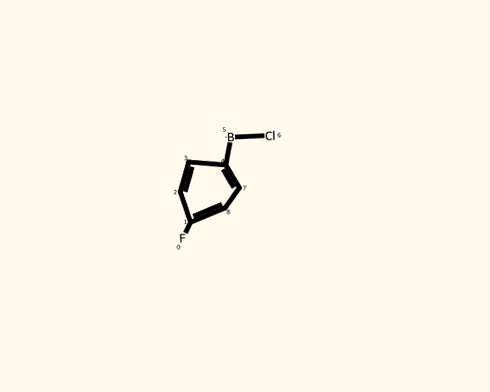 Fc1ccc([B]Cl)cc1